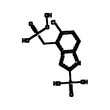 O=P(O)(Cc1c(Cl)ccc2nc(P(=O)(O)O)cn12)OO